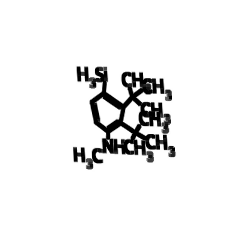 CNc1ccc([SiH3])c(C(C)(C)C)c1C(C)(C)C